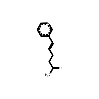 CC(=O)CC/C=C/c1cccnc1